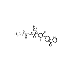 CCN(C(=O)OCCNC(=S)OC)c1cc(F)c(N2CCn3c(=O)c4cccnc4n3CC2)c(F)c1